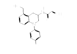 C=CC(=O)NC1Cc2c(CO)cccc2N(c2ccc(C(F)(F)F)cc2)C1